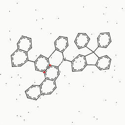 c1ccc(C2(c3ccccc3)c3ccccc3-c3ccc(N(c4ccc5c(ccc6ccccc65)c4)c4ccccc4-c4cccc(-c5cccc6ccccc56)c4)cc32)cc1